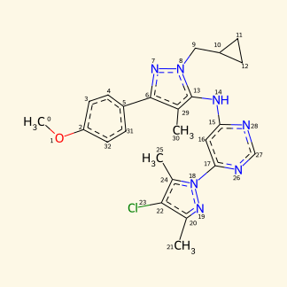 COc1ccc(-c2nn(CC3CC3)c(Nc3cc(-n4nc(C)c(Cl)c4C)ncn3)c2C)cc1